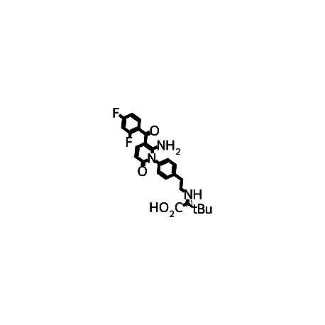 CC(C)(C)[C@H](NCCc1ccc(-n2c(N)c(C(=O)c3ccc(F)cc3F)ccc2=O)cc1)C(=O)O